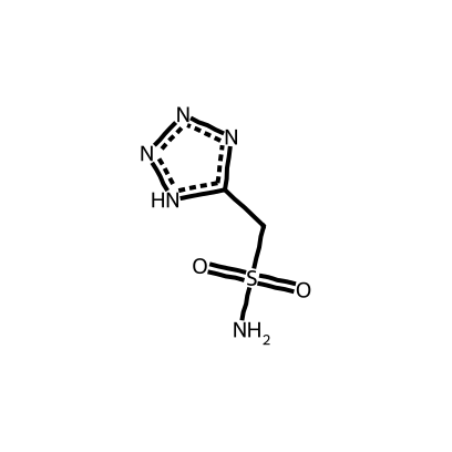 NS(=O)(=O)Cc1nnn[nH]1